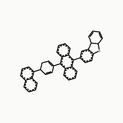 C1=CC2Sc3ccc(-c4c5ccccc5c(C5=CCC(c6cccc7ccccc67)C=C5)c5ccccc45)cc3C2C=C1